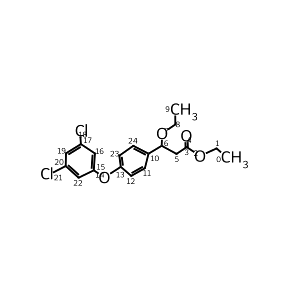 CCOC(=O)CC(OCC)c1ccc(Oc2cc(Cl)cc(Cl)c2)cc1